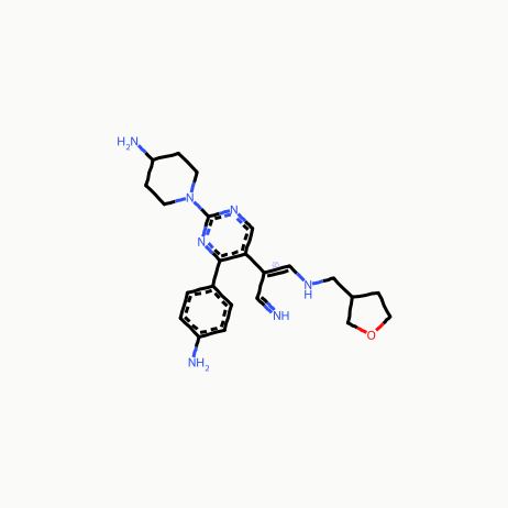 N=C/C(=C\NCC1CCOC1)c1cnc(N2CCC(N)CC2)nc1-c1ccc(N)cc1